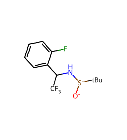 CC(C)(C)[S+]([O-])NC(c1ccccc1F)C(F)(F)F